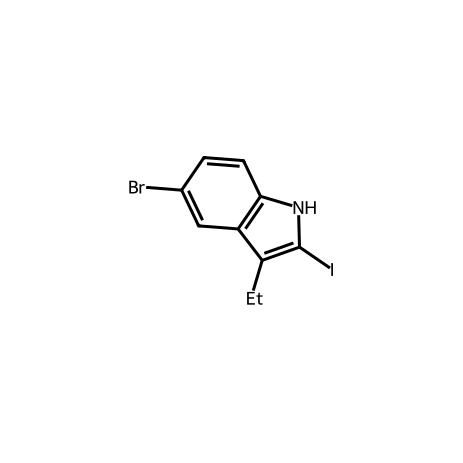 CCc1c(I)[nH]c2ccc(Br)cc12